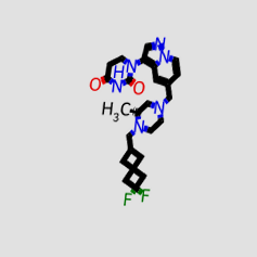 C[C@H]1CN(Cc2ccn3ncc(N4CCC(=O)NC4=O)c3c2)CCN1CC1CC2(C1)CC(F)(F)C2